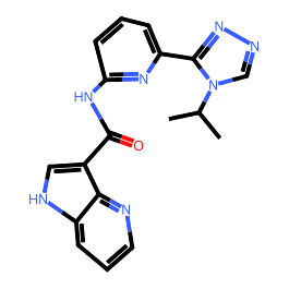 CC(C)n1cnnc1-c1cccc(NC(=O)c2c[nH]c3cccnc23)n1